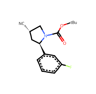 CC(C)(C)OC(=O)N1C[C@@H](C#N)C[C@@H]1c1cccc(F)c1